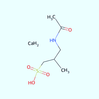 CC(=O)NCC(C)CS(=O)(=O)O.[CaH2]